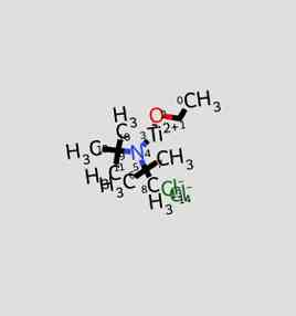 CC[O][Ti+2][N](C(C)(C)C)C(C)(C)C.[Cl-].[Cl-]